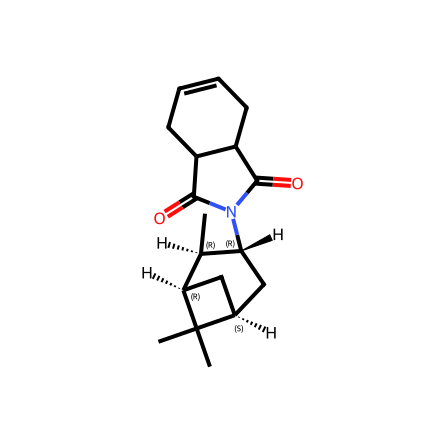 C[C@H]1[C@H](N2C(=O)C3CC=CCC3C2=O)C[C@@H]2C[C@H]1C2(C)C